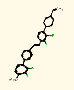 C=CC1CCC(c2ccc(/C=C/c3ccc(-c4ccc(OC)c(F)c4F)cc3)c(F)c2F)CC1